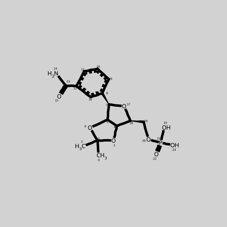 CC1(C)OC2C(O1)[C@@H](c1cccc(C(N)=O)c1)O[C@H]2COP(=O)(O)O